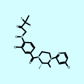 CC1[C@H](C)N(C(=O)c2ccc([S+]([O-])CC(=O)C(C)(F)F)c(Cl)c2)CCN1c1cc(Cl)ccn1